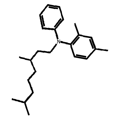 Cc1ccc(N(CCC(C)CCCC(C)C)c2ccccc2)c(C)c1